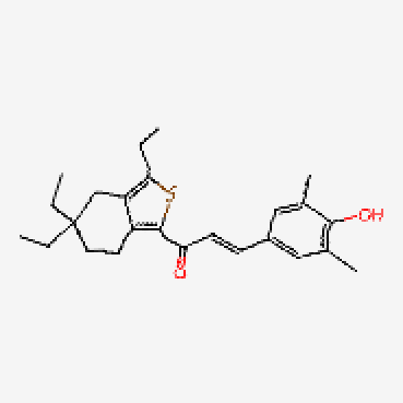 CCc1sc(C(=O)/C=C/c2cc(C)c(O)c(C)c2)c2c1CC(CC)(CC)CC2